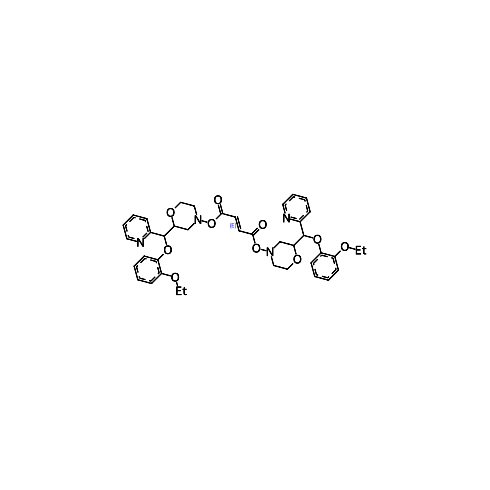 CCOc1ccccc1OC(c1ccccn1)C1CN(OC(=O)/C=C/C(=O)ON2CCOC(C(Oc3ccccc3OCC)c3ccccn3)C2)CCO1